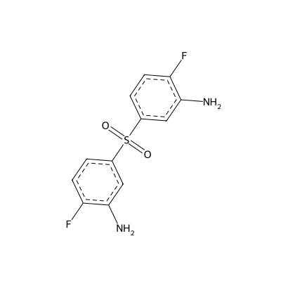 Nc1cc(S(=O)(=O)c2ccc(F)c(N)c2)ccc1F